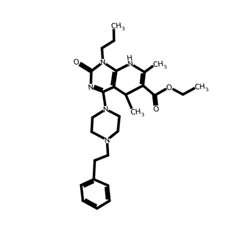 CCCn1c2c(c(N3CCN(CCc4ccccc4)CC3)nc1=O)C(C)C(C(=O)OCC)=C(C)N2